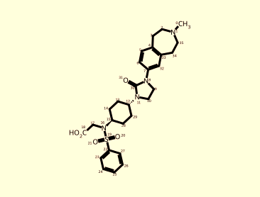 CN1CCc2ccc(N3CCN([C@H]4CC[C@H](N(CC(=O)O)S(=O)(=O)c5ccccc5)CC4)C3=O)cc2CC1